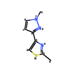 Cc1nc(-c2ccn(C)n2)cs1